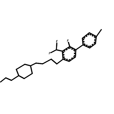 CCCC1CCC(CCCCc2ccc(-c3ccc(C)cc3)c(F)c2C(F)F)CC1